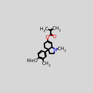 C=C(C)C(=O)OC1=CC2N(C)CCC2(c2ccc(OC)c(C)c2)CC1